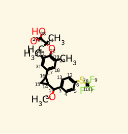 COC(c1ccc(SC(F)(F)F)cc1)C1CC1c1cc(C)c(OC(C)(C)C(=O)O)c(C)c1